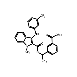 COC(=O)c1cccc(C(C)NC(=O)c2c(Nc3cccc(C(F)(F)F)c3)c3ccccc3n2C)c1